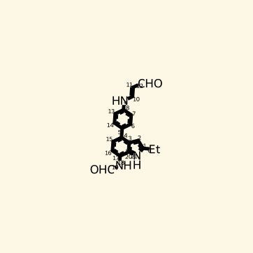 CCc1cc2c(-c3ccc(NC=CC=O)cc3)ccc(NC=O)c2[nH]1